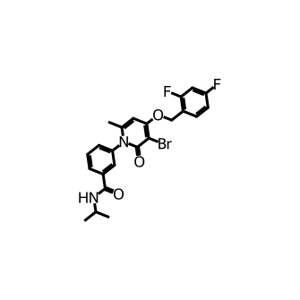 Cc1cc(OCc2ccc(F)cc2F)c(Br)c(=O)n1-c1cccc(C(=O)NC(C)C)c1